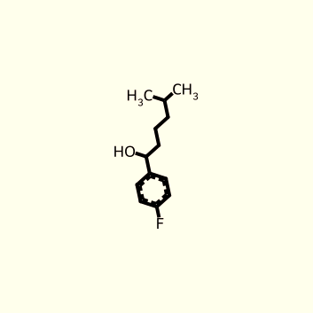 CC(C)CCCC(O)c1ccc(F)cc1